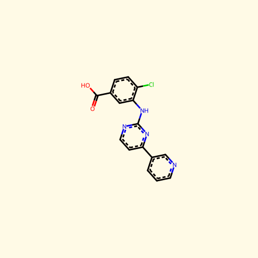 O=C(O)c1ccc(Cl)c(Nc2nccc(-c3cccnc3)n2)c1